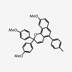 COc1ccc(C2(c3ccc(OC)cc3)C=Cc3c(-c4ccc(C)cc4)cc4ccc(OC)cc4c3O2)cc1